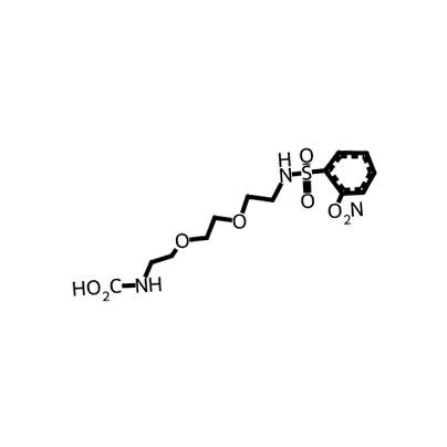 O=C(O)NCCOCCOCCNS(=O)(=O)c1ccccc1[N+](=O)[O-]